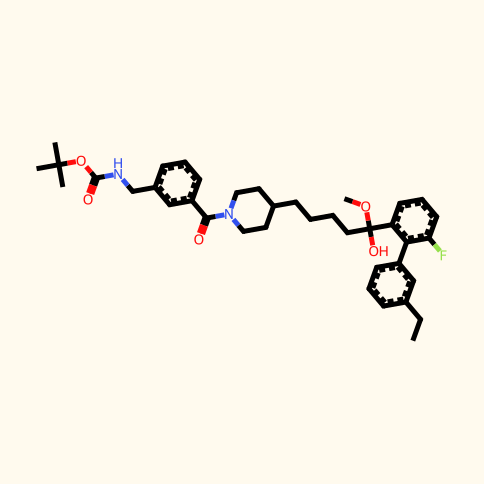 CCc1cccc(-c2c(F)cccc2C(O)(CCCCC2CCN(C(=O)c3cccc(CNC(=O)OC(C)(C)C)c3)CC2)OC)c1